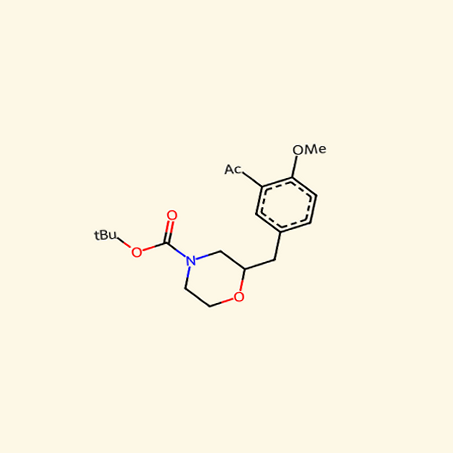 COc1ccc(CC2CN(C(=O)OC(C)(C)C)CCO2)cc1C(C)=O